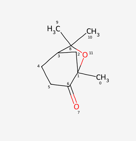 CC12CC(CCC1=O)C(C)(C)O2